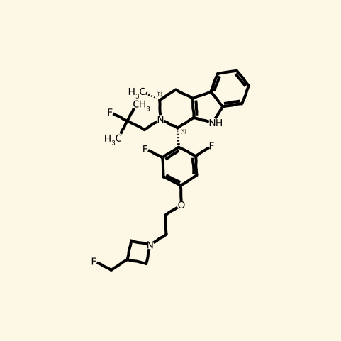 C[C@@H]1Cc2c([nH]c3ccccc23)[C@H](c2c(F)cc(OCCN3CC(CF)C3)cc2F)N1CC(C)(C)F